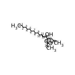 CCCCCCCCCCC/C=C/C(O)C(COCC)OC(=O)CC